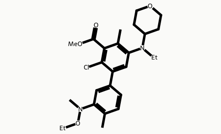 CCON(C)c1cc(-c2cc(N(CC)C3CCOCC3)c(C)c(C(=O)OC)c2Cl)ccc1C